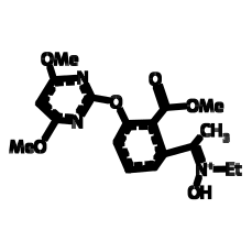 CC[N+](O)=C(C)c1cccc(Oc2nc(OC)cc(OC)n2)c1C(=O)OC